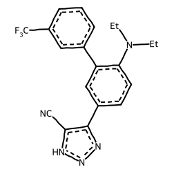 CCN(CC)c1ccc(-c2nn[nH]c2C#N)cc1-c1cccc(C(F)(F)F)c1